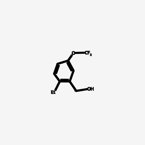 CCc1ccc(OC(F)(F)F)cc1[CH]O